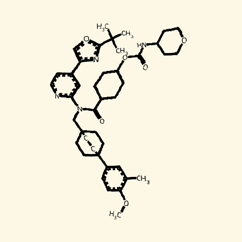 COc1ccc(C23CCC(CN(C(=O)C4CCC(OC(=O)NC5CCOCC5)CC4)c4cc(-c5coc(C(C)(C)C)n5)ccn4)(CC2)CC3)cc1C